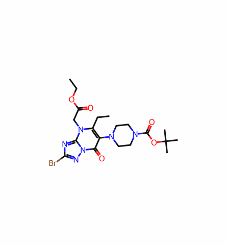 CCOC(=O)Cn1c(CC)c(N2CCN(C(=O)OC(C)(C)C)CC2)c(=O)n2nc(Br)nc12